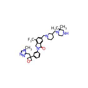 Cn1cnnc1CC1(c2cccc(N3Cc4c(cc(CN5CCCC(CN6CCNCC6(C)C)C5)cc4C(F)(F)F)C3=O)c2)COC1